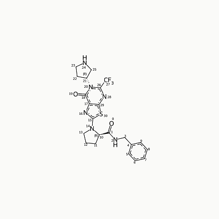 O=C(NCc1ccccc1)[C@H]1CCCN1c1nc2c(=O)n([C@@H]3CCNC3)c(C(F)(F)F)nc2s1